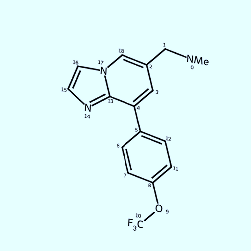 CNCc1cc(-c2ccc(OC(F)(F)F)cc2)c2nccn2c1